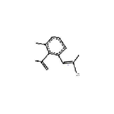 C=C(C)c1c(C)cccc1/C=C(\C)CC